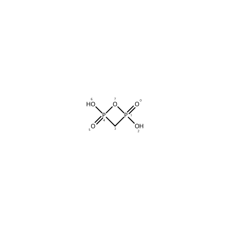 O=P1(O)CP(=O)(O)O1